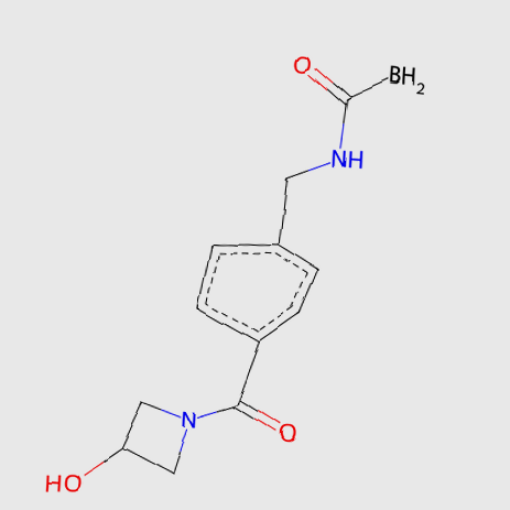 BC(=O)NCc1ccc(C(=O)N2CC(O)C2)cc1